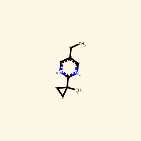 CCc1cnc(C2(C)CC2)nc1